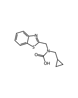 O=C(O)N(Cc1nc2ccccc2s1)CC1CC1